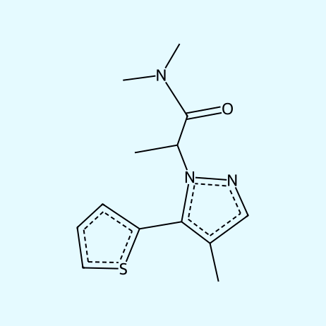 Cc1cnn(C(C)C(=O)N(C)C)c1-c1cccs1